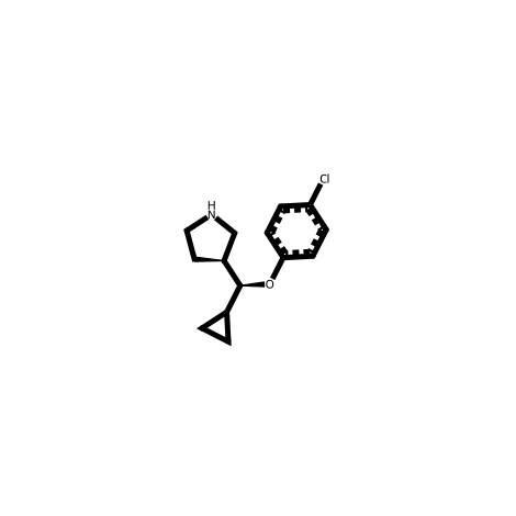 Clc1ccc(O[C@@H](C2CC2)[C@H]2CCNC2)cc1